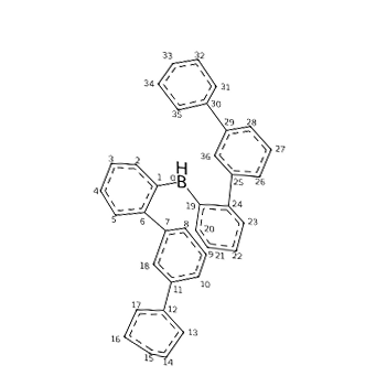 B(c1ccccc1-c1cccc(-c2ccccc2)c1)c1ccccc1-c1cccc(-c2ccccc2)c1